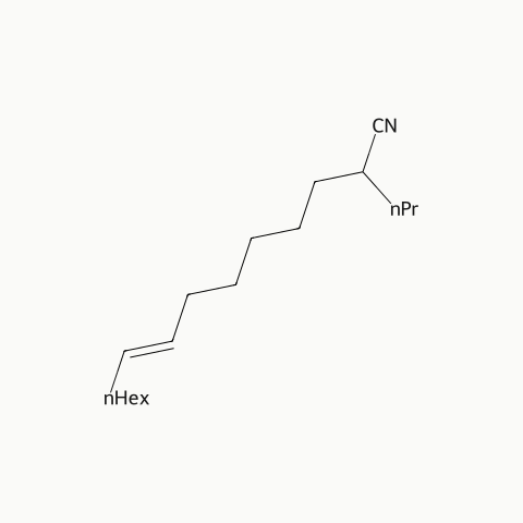 CCCCCC/C=C/CCCCCC(C#N)CCC